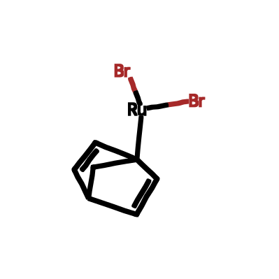 [Br][Ru]([Br])[C]12C=CC(C=C1)C2